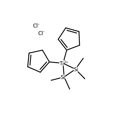 C[Si]1(C)[Si](C)(C)[Ti+2]1([C]1=CC=CC1)[C]1=CC=CC1.[Cl-].[Cl-]